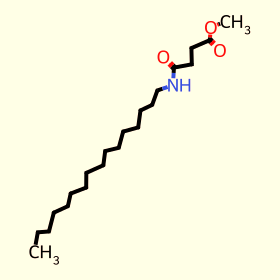 CCCCCCCCCCCCCCCCNC(=O)CCC(=O)OC